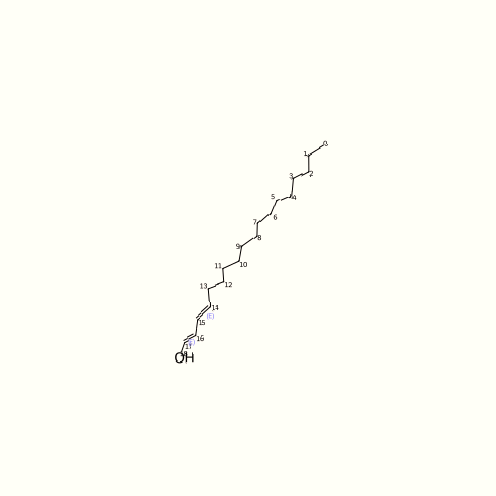 CCCCCCCCCCCCCC/C=C/C=C/O